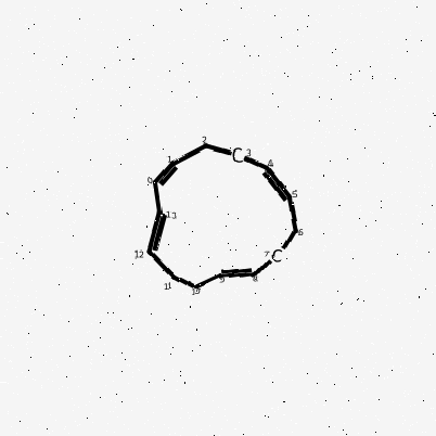 C1=C\CC/C=C\CC/C=C/CC/C=C/1